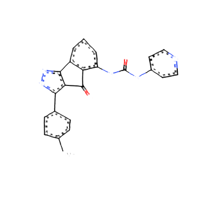 COc1ccc(-c2[nH]nc3c2C(=O)c2c(NC(=O)Nc4ccncc4)cccc2-3)cc1